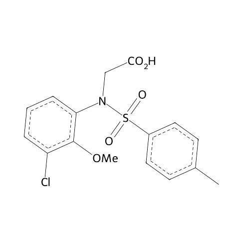 COc1c(Cl)cccc1N(CC(=O)O)S(=O)(=O)c1ccc(C)cc1